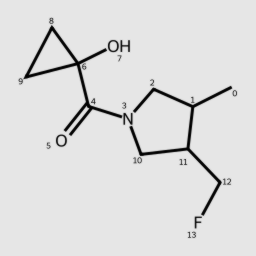 CC1CN(C(=O)C2(O)CC2)CC1CF